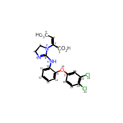 O=C(O)/C=C(/C(=O)O)N1CCN=C1Nc1ccccc1Oc1ccc(Cl)c(Cl)c1